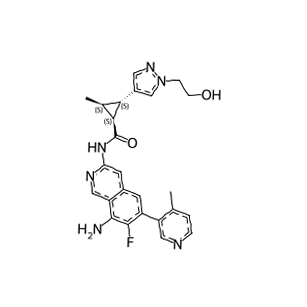 Cc1ccncc1-c1cc2cc(NC(=O)[C@H]3[C@@H](C)[C@@H]3c3cnn(CCO)c3)ncc2c(N)c1F